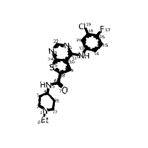 CCN1CCC(NC(=O)c2cc3c(Nc4ccc(F)c(Cl)c4)ncnc3s2)CC1